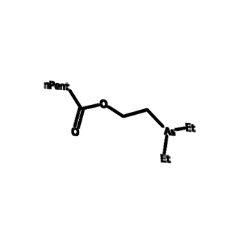 CCCCCC(=O)OCC[As](CC)CC